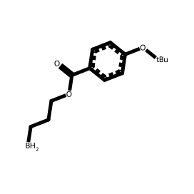 BCCCOC(=O)c1ccc(OC(C)(C)C)cc1